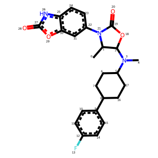 CC1C(N(C)C2CCC(c3ccc(F)cc3)CC2)OC(=O)N1c1ccc2[nH]c(=O)oc2c1